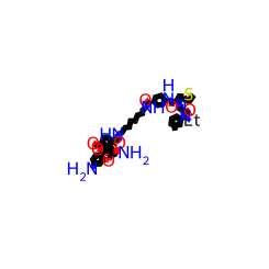 CCN(C(=O)Cn1c(C(=O)N[C@H]2CC[C@H](C(=O)NCCCCCCCCNC(=O)c3ccc4c(c3)C3(OC4=O)c4ccc(N)cc4Oc4cc(N)ccc43)CC2)cc2sccc21)c1cccc(C)c1